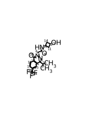 CC(C)c1nn(CC(=O)N[C@H]2C[C@@H](O)C2)c(=O)c2ccc(C(F)(F)F)cc12